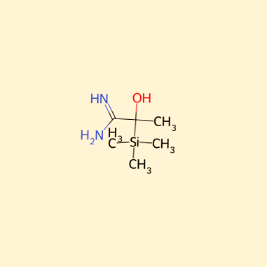 CC(O)(C(=N)N)[Si](C)(C)C